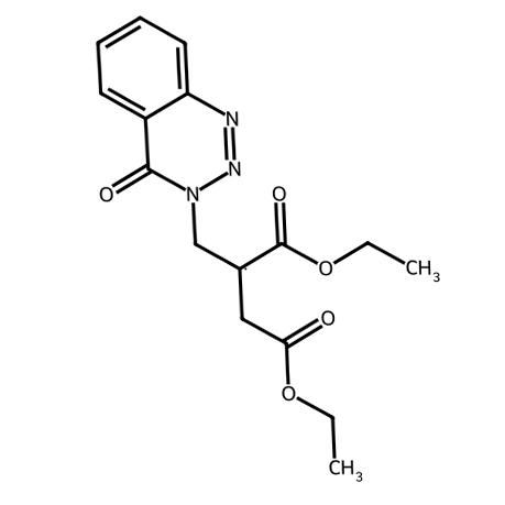 CCOC(=O)C[C](Cn1nnc2ccccc2c1=O)C(=O)OCC